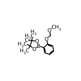 COCOc1cc[c]cc1B1OC(C)(C)C(C)(C)O1